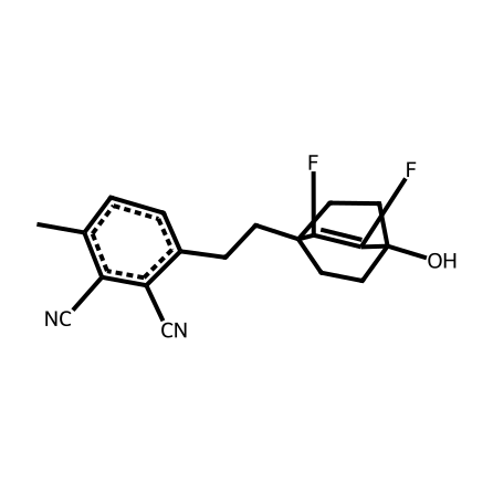 Cc1ccc(CCC23CCC(O)(CC2)C(F)=C3F)c(C#N)c1C#N